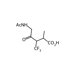 CC(=O)NCC(=O)C(C(C)C(=O)O)C(F)(F)F